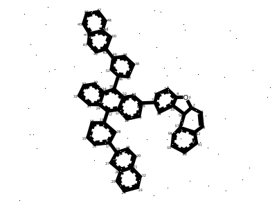 C1=CC2Oc3ccc(-c4ccc5c(-c6cccc(-c7ccc8ccccc8c7)c6)c6ccccc6c(-c6cccc(-c7ccc8ccccc8c7)c6)c5c4)cc3C2c2ccccc21